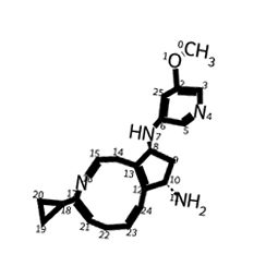 COc1cncc(N[C@H]2C[C@H](N)C3=C2C/C=N\C(C2CC2)=C/C/C=C\3)c1